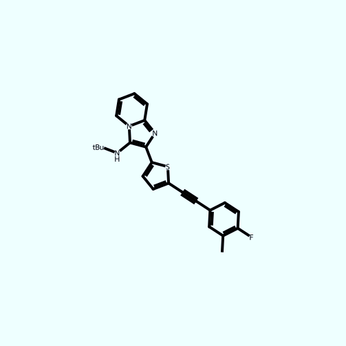 Cc1cc(C#Cc2ccc(-c3nc4ccccn4c3NC(C)(C)C)s2)ccc1F